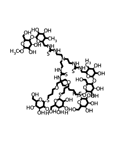 CO[C@H]1OC(CO)C(O[C@H]2OC(CNC(=S)NCCN(CCNC(=S)NCC3O[C@H](OC4C(CO)O[C@H](OC)C(O)[C@H]4O)C(O)[C@@H](O)C3C)CCNC(=S)NC(COCCCS[C@H]3OC(CO)[C@@H](O)[C@H](O)C3O)(COCCCS[C@H]3OC(CO)[C@@H](O)[C@H](O)C3O)COCCCS[C@H]3OC(CO)[C@@H](O)[C@H](O)C3O)C(C)[C@H](O)C2O)[C@H](O)C1O